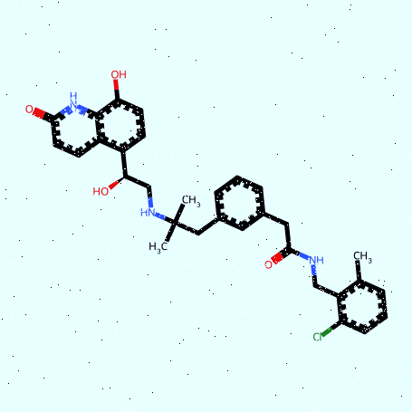 Cc1cccc(Cl)c1CNC(=O)Cc1cccc(CC(C)(C)NC[C@@H](O)c2ccc(O)c3[nH]c(=O)ccc23)c1